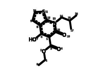 CCOC(=O)c1c(O)c2ccsc2n(CC(C)C)c1=O